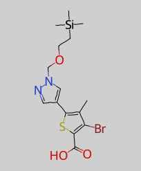 Cc1c(-c2cnn(COCC[Si](C)(C)C)c2)sc(C(=O)O)c1Br